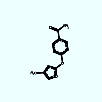 Cc1coc(Oc2ccc(C(N)=O)cc2)c1